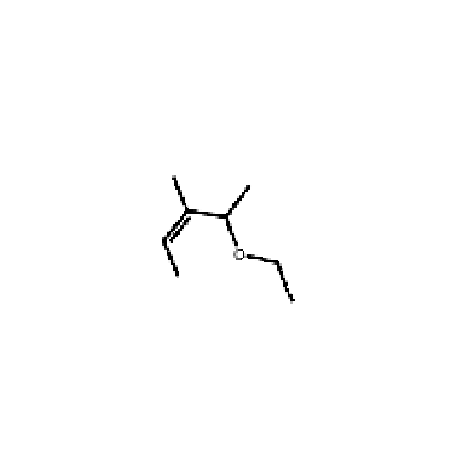 CC=C(C)C(C)OCC